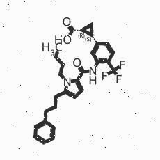 CCCCn1c(CCCc2ccccc2)ccc1C(=O)Nc1cc([C@H]2C[C@H]2C(=O)O)ccc1C(F)(F)F